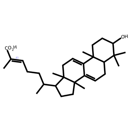 C/C(=C\CCC(C)C1CCC2(C)C3=CCC4C(C)(CCC(O)C4(C)C)C3=CCC12C)C(=O)O